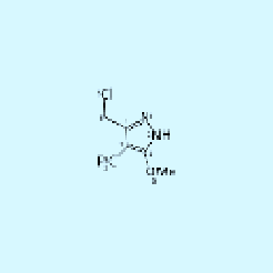 COc1[nH]nc(CCl)c1C(F)(F)F